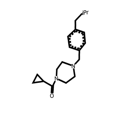 CC(C)Cc1ccc(CN2CCN(C(=O)C3CC3)CC2)cc1